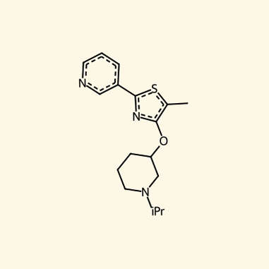 Cc1sc(-c2cccnc2)nc1OC1CCCN(C(C)C)C1